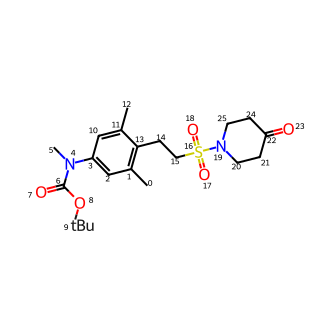 Cc1cc(N(C)C(=O)OC(C)(C)C)cc(C)c1CCS(=O)(=O)N1CCC(=O)CC1